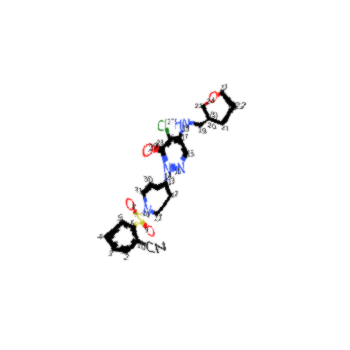 N#Cc1ccccc1S(=O)(=O)N1CCC(n2ncc(NC[C@@H]3CCCOC3)c(Cl)c2=O)CC1